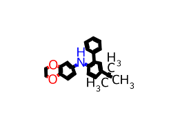 CC(C)(C)c1ccc(Nc2ccc3c(c2)OCCO3)c(-c2ccccc2)c1